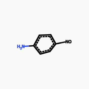 Nc1ccc(N=O)cc1